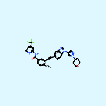 Cc1ccc(C(=O)Nc2cc(C(F)(F)F)ccn2)cc1C#Cc1ccc2c(c1)ncn2-c1cnn(C2CCOCC2)c1